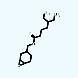 CCC(CC)CCCC(=O)OCC1CCC2OC2C1